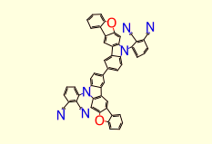 N#Cc1cccc(-n2c3ccc(-c4ccc5c(c4)c4cc6c(cc4n5-c4cccc(C#N)c4C#N)oc4ccccc46)cc3c3cc4c(cc32)oc2ccccc24)c1C#N